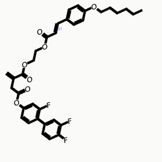 C=C(CC(=O)Oc1ccc(-c2ccc(F)c(F)c2)c(F)c1)C(=O)OCCOC(=O)/C=C/c1ccc(OCCCCCC)cc1